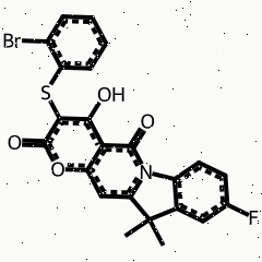 CC1(C)c2cc(F)ccc2-n2c1cc1oc(=O)c(Sc3ccccc3Br)c(O)c1c2=O